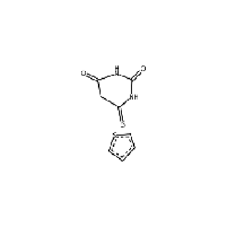 O=C1CC(=O)NC(=O)N1.c1ccsc1